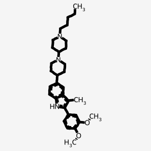 CCCCCN1CCC(N2CCC(c3ccc4[nH]c(-c5ccc(OC)c(OC)c5)c(C)c4c3)CC2)CC1